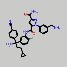 N#Cc1ccc(C(N)(CCC2CC2)c2ccc(F)c(NC(=O)c3cc(C(N)=O)nn3-c3cccc(CN)c3)c2)cc1